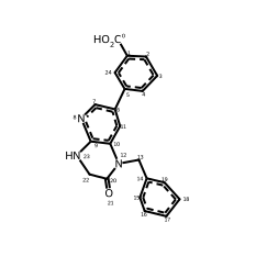 O=C(O)c1cccc(-c2cnc3c(c2)N(Cc2ccccc2)C(=O)CN3)c1